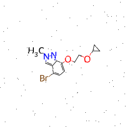 Cn1cc2c(Br)ccc(OCCOC3CC3)c2n1